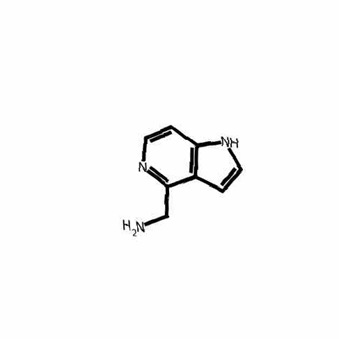 NCc1nccc2[nH]ccc12